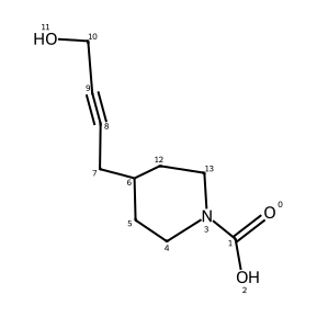 O=C(O)N1CCC(CC#CCO)CC1